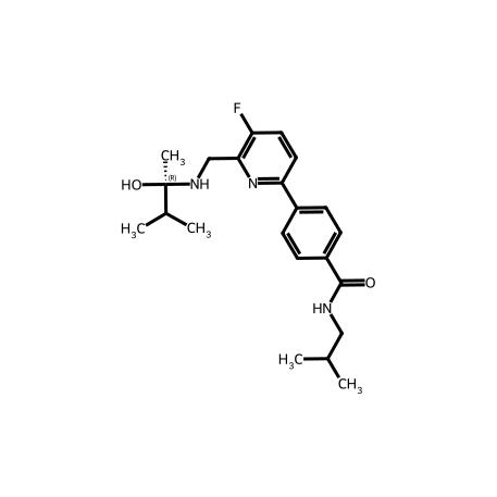 CC(C)CNC(=O)c1ccc(-c2ccc(F)c(CN[C@](C)(O)C(C)C)n2)cc1